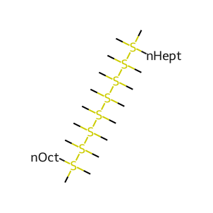 CCCCCCCCS(C)(C)S(C)(C)S(C)(C)S(C)(C)S(C)(C)S(C)(C)S(C)(C)S(C)(C)CCCCCCC